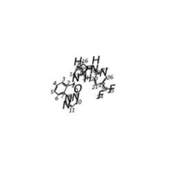 O=C(c1ccccc1-n1nccn1)N1C[C@H]2C[C@@H](Nc3ccc(C(F)F)cn3)[C@@H]1C2